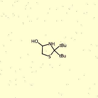 CC(C)(C)C1(C(C)(C)C)NC(O)CS1